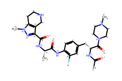 CCC(=O)N[C@H](Cc1ccc(NC(=O)[C@H](C)NC(=O)c2nn(C)c3c2CNCC3)c(F)c1)C(=O)N1CCN(C)CC1